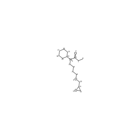 CCC(=O)N(CCCCOCC1CO1)C1CCCCC1